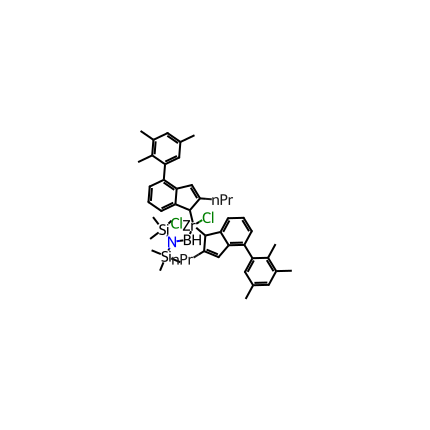 CCCC1=Cc2c(-c3cc(C)cc(C)c3C)cccc2[CH]1[Zr]([Cl])([Cl])([BH]N([Si](C)(C)C)[Si](C)(C)C)[CH]1C(CCC)=Cc2c(-c3cc(C)cc(C)c3C)cccc21